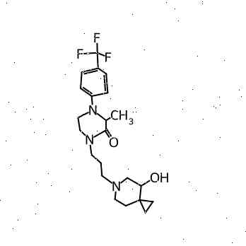 CC1C(=O)N(CCCN2CCC3(CC3)C(O)C2)CCN1c1ccc(C(F)(F)F)cc1